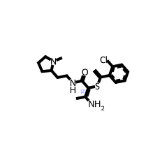 C=C(S/C(C(=O)NCCC1CCCN1C)=C(/C)N)c1ccccc1Cl